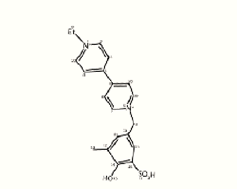 CC[n+]1ccc(-c2cc[n+](Cc3cc(C)c(O)c(S(=O)(=O)O)c3)cc2)cc1